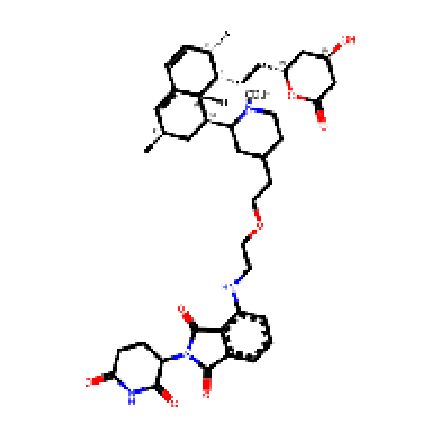 C[C@H]1C=C2C=C[C@H](C)[C@H](CC[C@@H]3C[C@@H](O)CC(=O)O3)[C@@H]2[C@@H](C2CC(CCOCCNc3cccc4c3C(=O)N(C3CCC(=O)NC3=O)C4=O)CCN2C(=O)O)C1